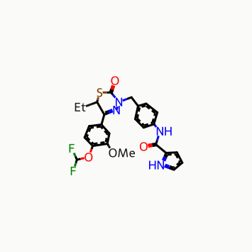 CCC1SC(=O)N(Cc2ccc(NC(=O)c3ccc[nH]3)cc2)N=C1c1ccc(OC(F)F)c(OC)c1